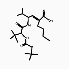 CCCC/C(=C\[C@@H](NC(=O)[C@@H](NC(=O)OC(C)(C)C)C(C)(C)C)C(C)C)C(=O)O